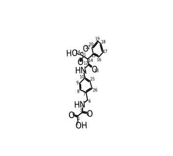 O=C(O)C(=O)NCc1ccc(NC(=O)C(c2ccccc2)S(=O)(=O)O)cc1